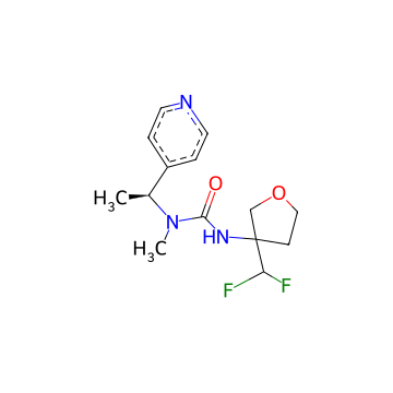 C[C@@H](c1ccncc1)N(C)C(=O)NC1(C(F)F)CCOC1